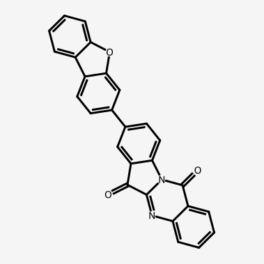 O=C1c2cc(-c3ccc4c(c3)oc3ccccc34)ccc2-n2c1nc1ccccc1c2=O